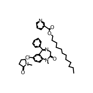 CCCCCCCCCCCCOC(=O)c1cccnc1.CN1C(=O)CN=C(c2ccccc2)c2cc(Cl)ccc21.CN1CCCC1=O